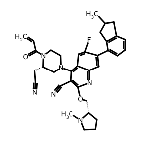 C=CC(=O)N1CCN(c2c(C#N)c(OC[C@@H]3CCCN3C)nc3cc(-c4cccc5c4CC(C)C5)c(F)cc23)C[C@@H]1CC#N